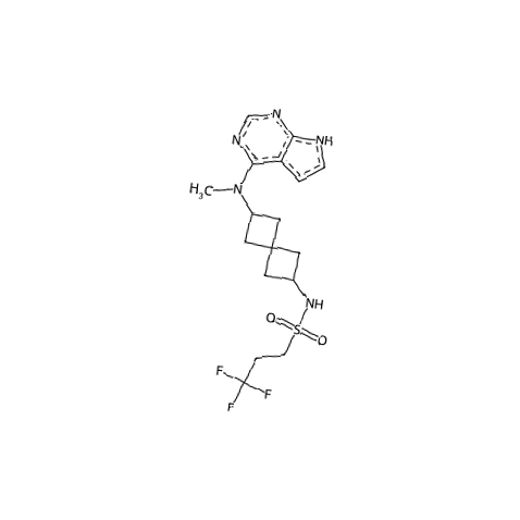 CN(c1ncnc2[nH]ccc12)C1CC2(CC(NS(=O)(=O)CCC(F)(F)F)C2)C1